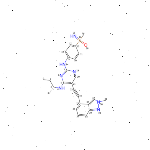 CC[C@@H](C)Nc1nc(Nc2ccc(S(C)(=N)=O)cc2)ncc1C#Cc1cccc2nn(C)cc12